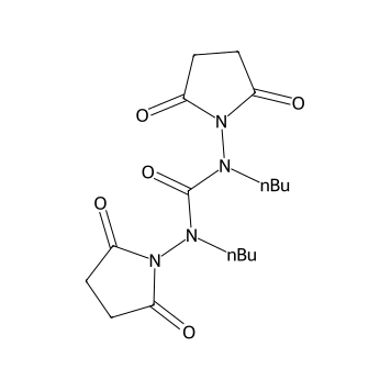 CCCCN(C(=O)N(CCCC)N1C(=O)CCC1=O)N1C(=O)CCC1=O